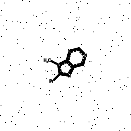 CC(C)c1nc2cncnc2n1C